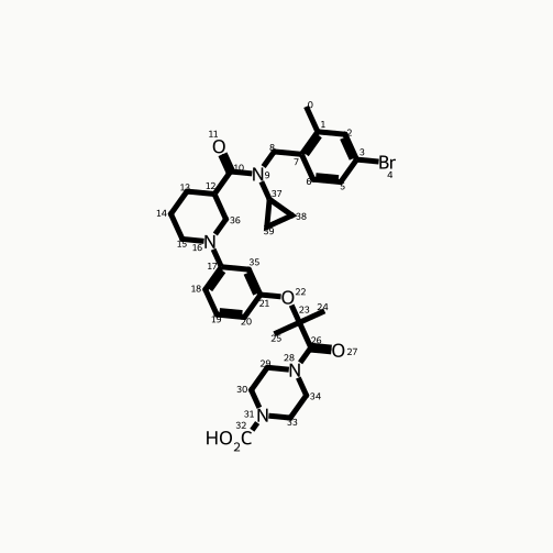 Cc1cc(Br)ccc1CN(C(=O)C1CCCN(c2cccc(OC(C)(C)C(=O)N3CCN(C(=O)O)CC3)c2)C1)C1CC1